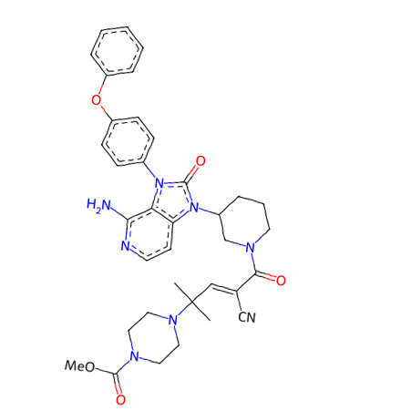 COC(=O)N1CCN(C(C)(C)C=C(C#N)C(=O)N2CCCC(n3c(=O)n(-c4ccc(Oc5ccccc5)cc4)c4c(N)nccc43)C2)CC1